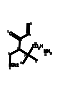 C=CC(=O)C(CCCCCCCCC)C(C)(C)C(=O)O.N